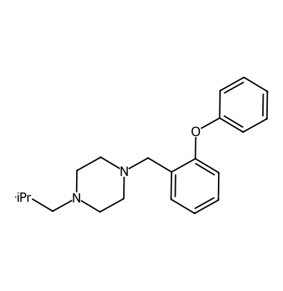 C[C](C)CN1CCN(Cc2ccccc2Oc2ccccc2)CC1